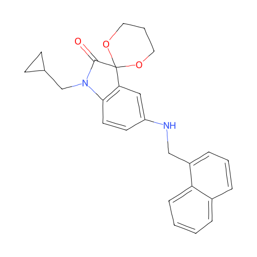 O=C1N(CC2CC2)c2ccc(NCc3cccc4ccccc34)cc2C12OCCCO2